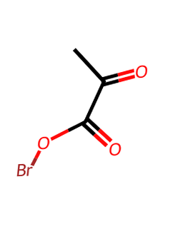 CC(=O)C(=O)OBr